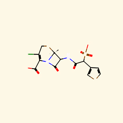 O=C(O)C1=C(Cl)CS[C@@H]2C(NC(=O)C(c3ccsc3)S(=O)(=O)O)C(=O)N12